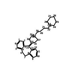 c1ccc2c(c1)CCc1ccccc1C2=C1CCN(CCCCN2CCCCC2)CC1